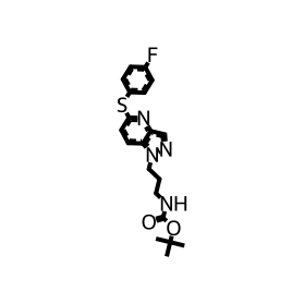 CC(C)(C)OC(=O)NCCCn1ncc2nc(Sc3ccc(F)cc3)ccc21